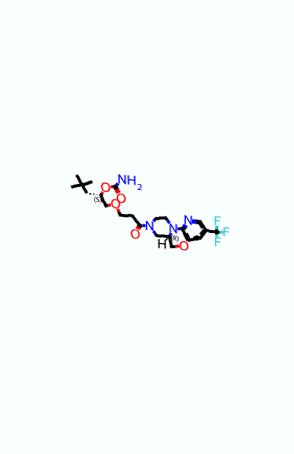 CC(C)(C)C[C@@H](COCCC(=O)N1CCN2c3ncc(C(F)(F)F)cc3OC[C@H]2C1)OC(N)=O